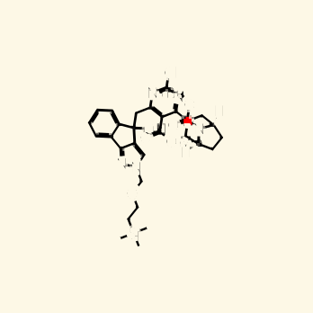 COC(=O)c1c(CC2(O)c3ccccc3-c3nn(COCC[Si](C)(C)C)cc32)nc(Cl)nc1N1C[C@H]2CC[C@@H](C1)N2C(=O)OC(C)(C)C